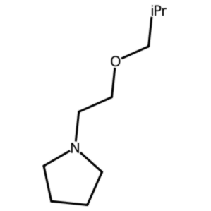 CC(C)COCCN1CCCC1